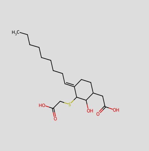 CCCCCCCCC=C1CCC(CC(=O)O)C(O)C1SCC(=O)O